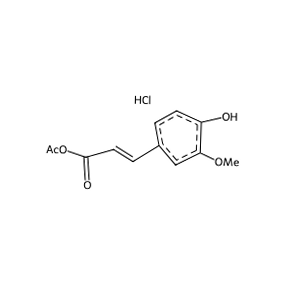 COc1cc(C=CC(=O)OC(C)=O)ccc1O.Cl